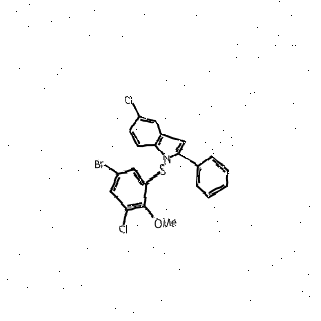 COc1c(Cl)cc(Br)cc1Sn1c(-c2ccccc2)cc2cc(Cl)ccc21